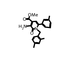 COC(=O)c1cc(-c2cccc(C)c2)n(Cc2ccc(C)cc2C)c(=O)c1N